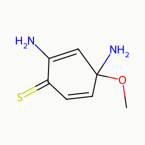 COC1(N)C=CC(=S)C(N)=C1